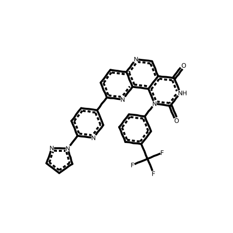 O=c1[nH]c(=O)n(-c2cccc(C(F)(F)F)c2)c2c1cnc1ccc(-c3ccc(-n4cccn4)nc3)nc12